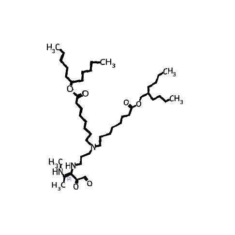 CCCCCC(CCCCC)OC(=O)CCCCCCCN(CCCCCCCC(=O)OCC(CCCC)CCCC)CCCN/C(C(=O)C=O)=C(/C)NC